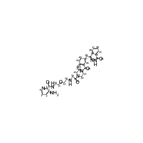 Nc1cccnc1C(=O)NCCOCCNCC(=O)N1CCN(C(=O)c2cc(Cc3n[nH]c(=O)c4ccccc34)ccc2F)CC1